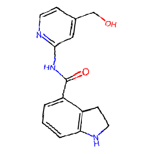 O=C(Nc1cc(CO)ccn1)c1cccc2c1CCN2